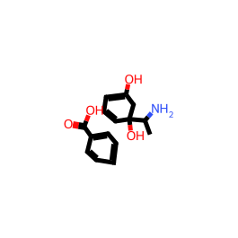 CC(N)C1(O)C=CC=C(O)C1.O=C(O)c1ccccc1